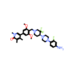 COc1cc(-c2cn(C)c(=O)c(C)c2C)cc(OC)c1CN1CC[C@H](N2CCN(c3ccc(N)cc3F)CC2)C(F)(F)C1